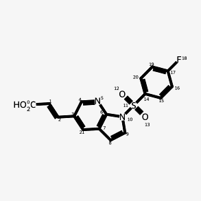 O=C(O)C=Cc1cnc2c(ccn2S(=O)(=O)c2ccc(F)cc2)c1